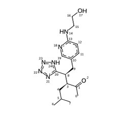 CC(=O)[C@@H](CC(C)C)[C@H](Cc1ccc(NCCO)nc1)c1nnn[nH]1